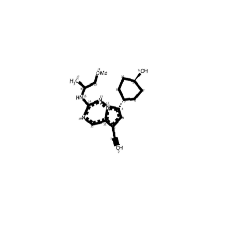 C#Cc1cc([C@H]2CC[C@H](O)CC2)n2nc(NC(C)COC)ncc12